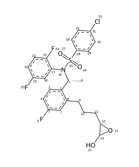 C[C@H](c1ccc(F)cc1CCCC1OC1O)N(c1cc(F)ccc1F)S(=O)(=O)c1ccc(Cl)cc1